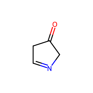 O=C1CC=NC1